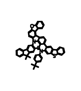 CC(C)(C)c1ccc(N2B3c4cc5c(cc4-n4c6ccc7oc8ccccc8c7c6c6ccc(c3c64)-c3cc4c(cc32)sc2ccccc24)-c2ccccc2C5(C)C)cc1